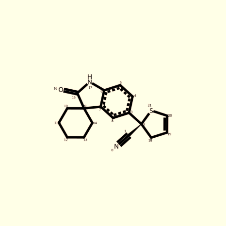 N#C[C@]1(c2ccc3c(c2)C2(CCCCC2)C(=O)N3)CC=CS1